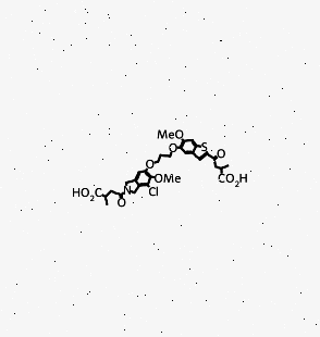 COc1cc2sc(C(=O)CC(C)C(=O)O)cc2cc1OCCCOc1cc2c(c(Cl)c1OC)CN(C(=O)CC(C)C(=O)O)C2